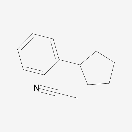 CC#N.c1ccc(C2CCCC2)cc1